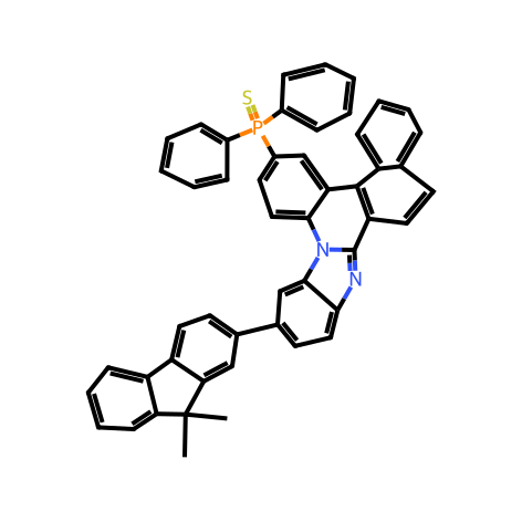 CC1(C)c2ccccc2-c2ccc(-c3ccc4nc5c6ccc7ccccc7c6c6cc(P(=S)(c7ccccc7)c7ccccc7)ccc6n5c4c3)cc21